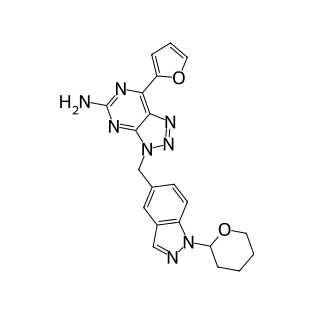 Nc1nc(-c2ccco2)c2nnn(Cc3ccc4c(cnn4C4CCCCO4)c3)c2n1